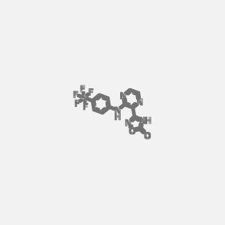 O=c1[nH]c(-c2nccnc2Nc2ccc(S(F)(F)(F)(F)F)cc2)no1